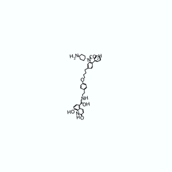 N[C@H]1CC[C@H](N(C(=O)O)c2cc(CCCCOc3ccc(CCNC[C@H](O)c4ccc(O)c5[nH]c(=O)ccc45)cc3)ccc2-c2ccccc2)CC1